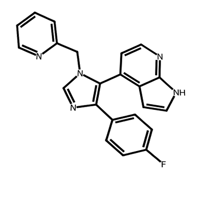 Fc1ccc(-c2ncn(Cc3ccccn3)c2-c2ccnc3[nH]ccc23)cc1